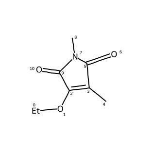 CCOC1=C(C)C(=O)N(C)C1=O